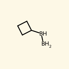 BBC1CCC1